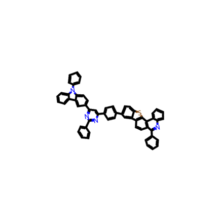 c1ccc(-c2nc(-c3ccc(-c4ccc5sc6c(ccc7c(-c8ccccc8)nc8ccccc8c76)c5c4)cc3)cc(-c3ccc4c(c3)c3ccccc3n4-c3ccccc3)n2)cc1